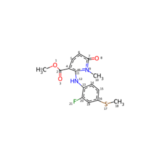 COC(=O)c1ccc(=O)n(C)c1Nc1ccc(SC)cc1F